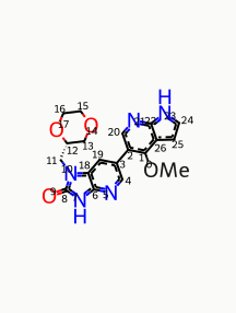 COc1c(-c2cnc3[nH]c(=O)n(C[C@H]4COCCO4)c3c2)cnc2[nH]ccc12